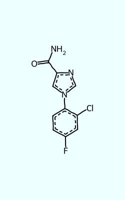 NC(=O)c1cn(-c2ccc(F)cc2Cl)cn1